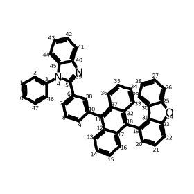 c1ccc(-n2c(-c3cccc(-c4c5ccccc5c(-c5cccc6oc7ccccc7c56)c5ccccc45)c3)nc3ccccc32)cc1